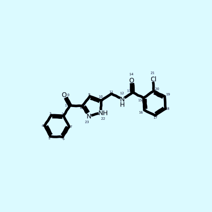 O=C(c1ccccc1)c1cc(CNC(=O)c2ccccc2Cl)[nH]n1